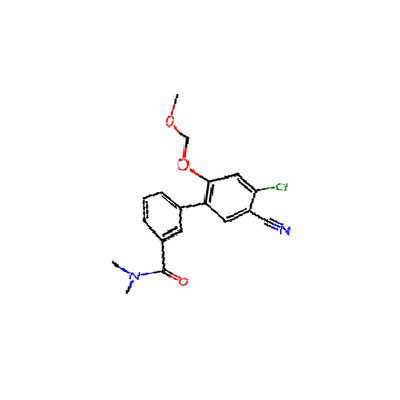 COCOc1cc(Cl)c(C#N)cc1-c1cccc(C(=O)N(C)C)c1